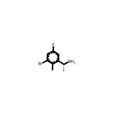 Cc1c(Br)cc(F)cc1[C@@H](C)N